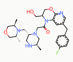 C[C@@H]1CN(CC(=O)N2c3cc(Cc4ccc(F)cc4)cnc3OCC2CO)[C@@H](CN2[C@H](C)COC[C@H]2C)CN1